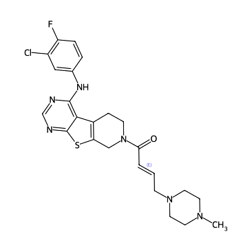 CN1CCN(C/C=C/C(=O)N2CCc3c(sc4ncnc(Nc5ccc(F)c(Cl)c5)c34)C2)CC1